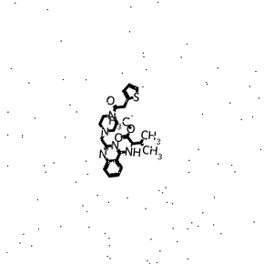 COC(=O)[C@@H](Nc1nc(CN2CCN(C(=O)Cc3cccs3)CC2)nc2ccccc12)C(C)C